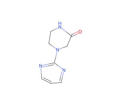 O=C1CN(c2ncccn2)CCN1